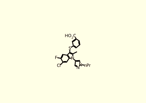 CCCn1cc(-n2c(C)c(Sc3cccc(C(=O)O)c3)c3cc(F)c(Cl)cc32)cn1